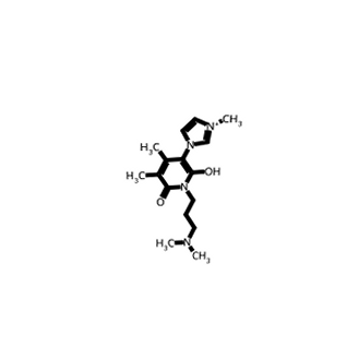 Cc1c(-n2cc[n+](C)c2)c(O)n(CCCN(C)C)c(=O)c1C